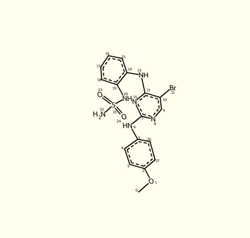 COc1ccc(Nc2ncc(Br)c(Nc3ccccc3NS(N)(=O)=O)n2)cc1